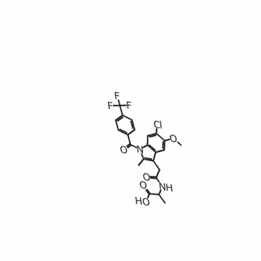 COc1cc2c(CC(=O)NC(C)C(=O)O)c(C)n(C(=O)c3ccc(C(F)(F)F)cc3)c2cc1Cl